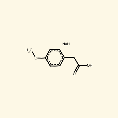 COc1ccc(CC(=O)O)cc1.[NaH]